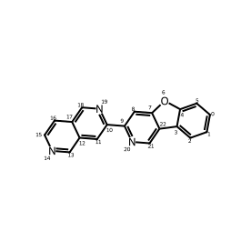 c1ccc2c(c1)oc1cc(-c3cc4cnccc4cn3)ncc12